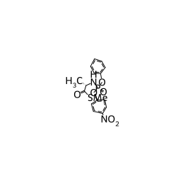 CSC(=O)[C@H](C)NP(=O)(Oc1ccccc1)Oc1ccc([N+](=O)[O-])cc1